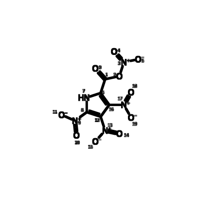 O=C(O[N+](=O)[O-])c1[nH]c([N+](=O)[O-])c([N+](=O)[O-])c1[N+](=O)[O-]